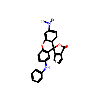 CCN(CC)C1=CCC2C(=C1)Oc1ccc(Nc3ccccc3)cc1C21OC(=O)C2=C1CCC=C2